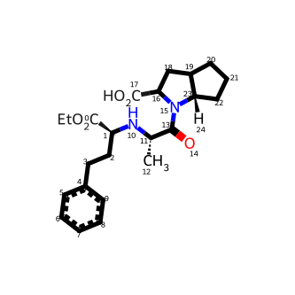 CCOC(=O)[C@H](CCc1ccccc1)N[C@@H](C)C(=O)N1C(C(=O)O)CC2CCC[C@@H]21